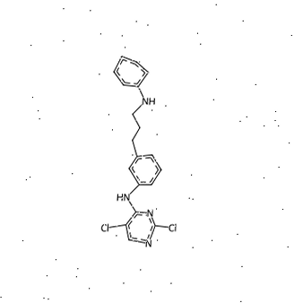 Clc1ncc(Cl)c(Nc2cccc(CCCNc3c[c]ccc3)c2)n1